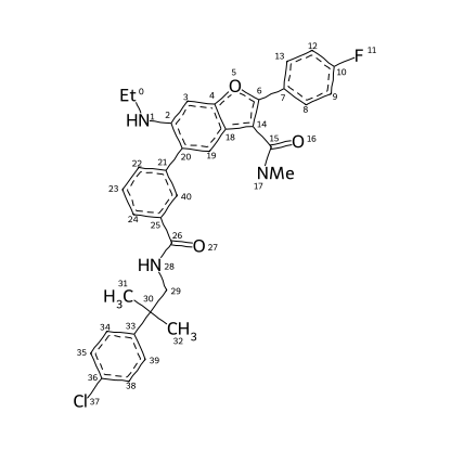 CCNc1cc2oc(-c3ccc(F)cc3)c(C(=O)NC)c2cc1-c1cccc(C(=O)NCC(C)(C)c2ccc(Cl)cc2)c1